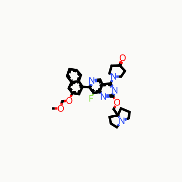 COCOc1cc(-c2ncc3c(N4CCC(=O)CC4)nc(OCC45CCCN4CCC5)nc3c2F)c2ccccc2c1